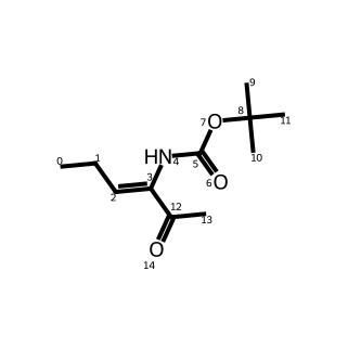 CCC=C(NC(=O)OC(C)(C)C)C(C)=O